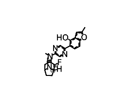 Cc1cc2c(O)c(-c3cnc(N(C)[C@@H]4CC5CC[C@H](N5)[C@@H]4F)cn3)ccc2o1